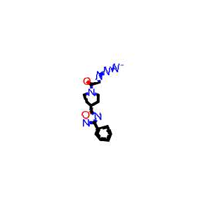 [N-]=[N+]=NCC(=O)N1CCC(c2nc(-c3ccccc3)no2)CC1